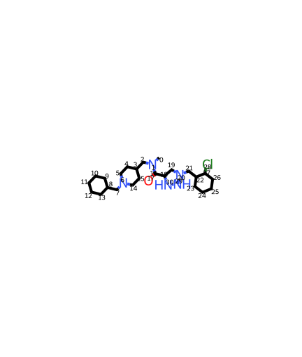 CN(CC1CCN(CC2CCCCC2)CC1)C(=O)C1CN(CC2CCCCC2Cl)NN1